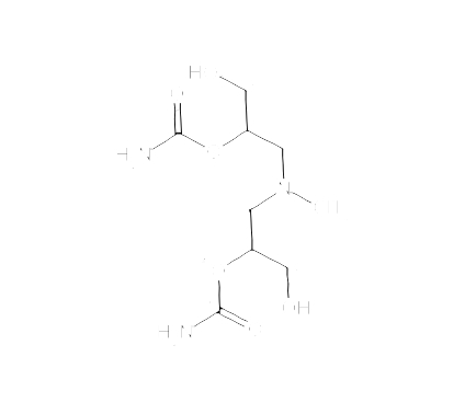 CN(CC(CO)OC(N)=O)CC(CO)OC(N)=O